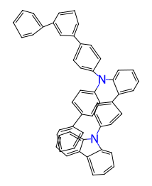 c1ccc(-c2ccc(N(c3ccc(-c4cccc(-c5ccccc5)c4)cc3)c3ccccc3-c3ccc(-n4c5ccccc5c5ccccc54)cc3)cc2)cc1